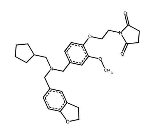 COc1cc(CN(Cc2ccc3c(c2)CCO3)CC2CCCC2)ccc1OCCN1C(=O)CCC1=O